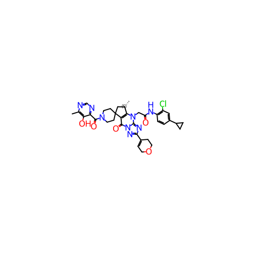 Cc1ncnc(C(=O)N2CCC3(CC2)C[C@H](C)c2c3c(=O)n3nc(C4=CCOCC4)nc3n2CC(=O)Nc2ccc(C3CC3)cc2Cl)c1O